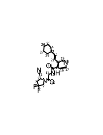 N#C[C@@H]1CC(F)(F)CN1C(=O)CNC(=O)c1ccncc1/C=C/C1CCCCC1